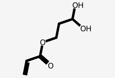 C=CC(=O)OCCC(O)O